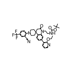 CCOc1ncccc1-c1ccc2c(c1)N(CCNC(=O)OC(C)(C)C)C(=O)CC21CCN(c2ccc(C(F)(F)F)cc2C#N)CC1